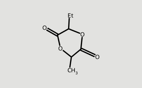 CCC1OC(=O)C(C)OC1=O